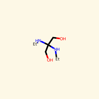 CCNC(CO)(CO)NCC